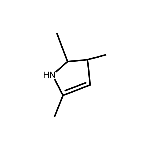 CC1=CC(C)C(C)N1